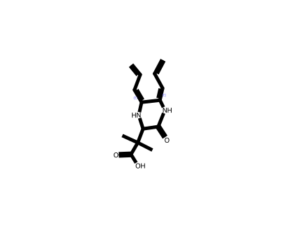 C=C/C=C1/NC(=O)C(C(C)(C)C(=O)O)N/C1=C/C=C